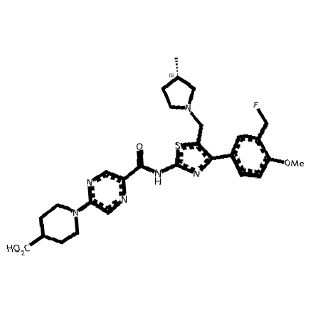 COc1ccc(-c2nc(NC(=O)c3cnc(N4CCC(C(=O)O)CC4)cn3)sc2CN2CC[C@H](C)C2)cc1CF